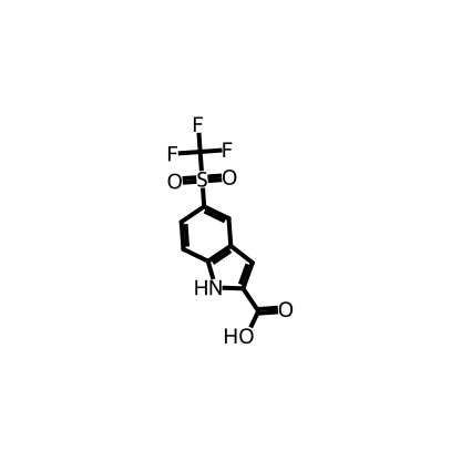 O=C(O)c1cc2cc(S(=O)(=O)C(F)(F)F)ccc2[nH]1